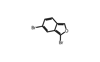 Brc1ccc2coc(Br)c2c1